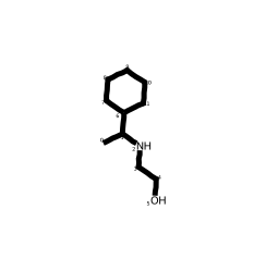 CC(NCCO)C1CCCCC1